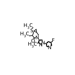 CCSCC(CC)C(=O)N(CC1CC1)c1cn(-c2cncc(F)c2)nc1C